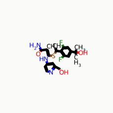 C/C(C(N)=O)=C(/Nc1ccnc(CO)c1)SC(C)c1c(F)cc(C(C)(C)O)cc1F